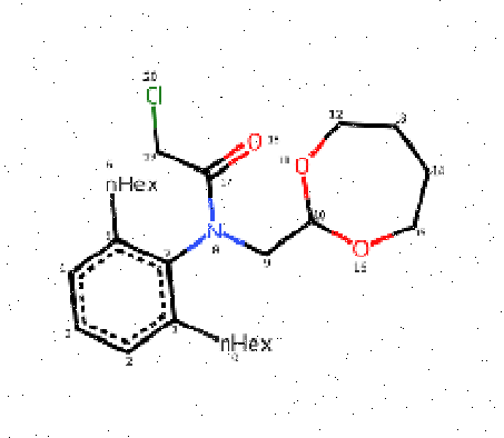 CCCCCCc1cccc(CCCCCC)c1N(CC1OCCCCO1)C(=O)CCl